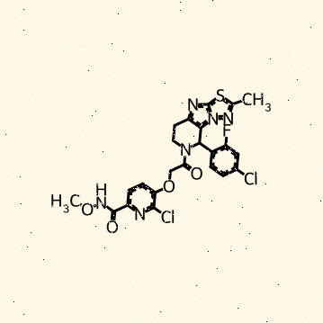 CONC(=O)c1ccc(OCC(=O)N2CCc3nc4sc(C)nn4c3C2c2ccc(Cl)cc2F)c(Cl)n1